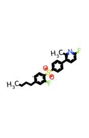 CCCCc1[c]cc(S(=O)(=O)c2ccc(-c3ccc(F)nc3C)cc2)c(F)c1